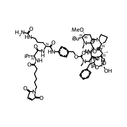 CCC(C)[C@@H]([C@@H](CC(=O)N1CCC[C@H]1[C@H](OC)[C@H](C)C(=O)NC(Cc1ccccc1)O[PH](=O)O)OC)N(C)C(=O)[C@@H](NC(=O)[C@H](C(C)C)N(C)C(=O)OCc1ccc(NC(=O)[C@H](CCCNC(N)=O)NC(=O)[C@@H](NC(=O)CCCCCN2C(=O)C=CC2=O)C(C)C)cc1)C(C)C